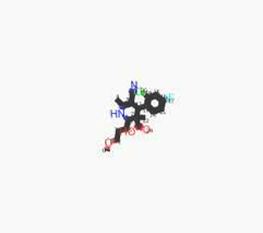 COCCCC1NC(C)=C(C#N)C(c2ccc(F)cc2Cl)C1(C)C(=O)O